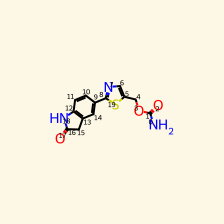 NC(=O)OCc1cnc(-c2ccc3c(c2)CC(=O)N3)s1